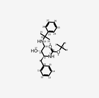 CC(C)(C)OC(=O)N[C@@H](Cc1ccccc1)[C@H](O)CNC(C)(C)c1ccccc1